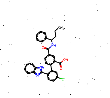 CCCC(NC(=O)c1ccc(-c2cc(Cl)ccc2-c2nc3ccccc3[nH]2)c(C(=O)O)c1)c1ccccc1